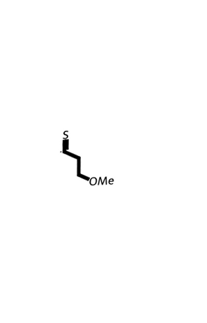 COCC[C]=S